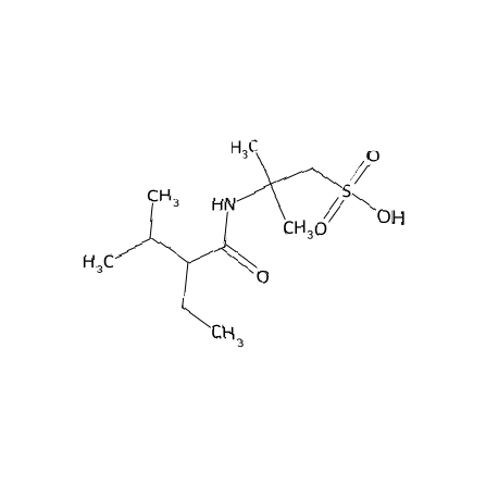 CCC(C(=O)NC(C)(C)CS(=O)(=O)O)C(C)C